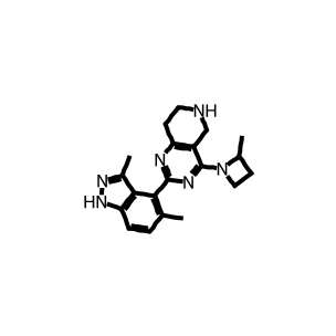 Cc1ccc2[nH]nc(C)c2c1-c1nc2c(c(N3CCC3C)n1)CNCC2